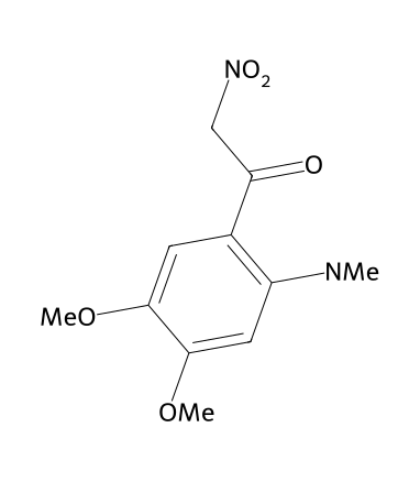 CNc1cc(OC)c(OC)cc1C(=O)C[N+](=O)[O-]